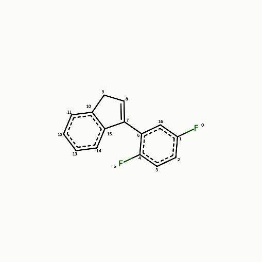 Fc1ccc(F)c(C2=C[CH]c3ccccc32)c1